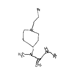 C=C(NC(C)C)N(C)C1CCN(CCC(C)C)CC1